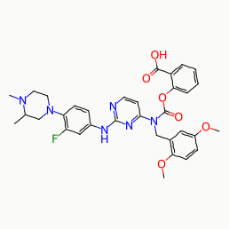 COc1ccc(OC)c(CN(C(=O)Oc2ccccc2C(=O)O)c2ccnc(Nc3ccc(N4CCN(C)C(C)C4)c(F)c3)n2)c1